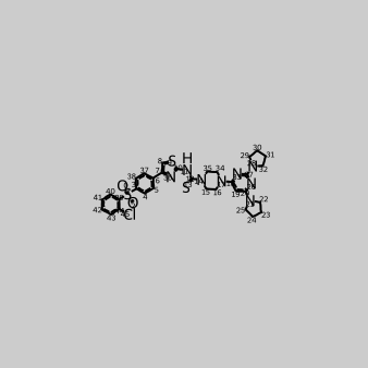 O=S(=O)(c1ccc(-c2csc(NC(=S)N3CCN(c4cc(N5CCCC5)nc(N5CCCC5)n4)CC3)n2)cc1)c1ccccc1Cl